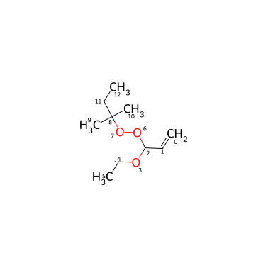 C=CC(O[CH]C)OOC(C)(C)CC